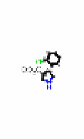 CCOC(=O)[C@H]1CNC[C@H]1c1ccccc1Cl